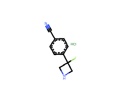 Cl.N#Cc1ccc(C2(F)CNC2)cc1